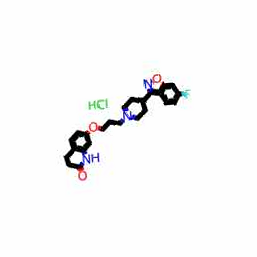 Cl.O=C1CCc2ccc(OCCCN3CCC(c4noc5cc(F)ccc45)CC3)cc2N1